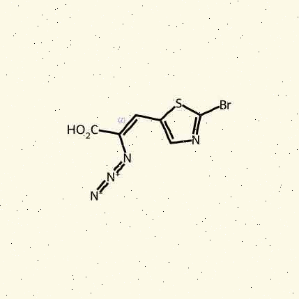 [N-]=[N+]=N/C(=C\c1cnc(Br)s1)C(=O)O